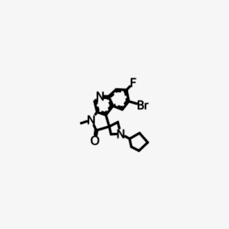 CN1C(=O)C2(CN(C3CCCC3)C2)c2c1cnc1cc(F)c(Br)cc21